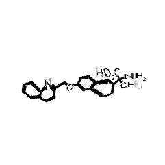 C[C@](N)(C(=O)O)c1ccc2cc(OCc3ccc4ccccc4n3)ccc2c1